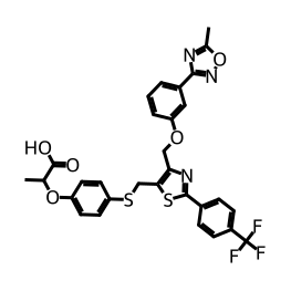 Cc1nc(-c2cccc(OCc3nc(-c4ccc(C(F)(F)F)cc4)sc3CSc3ccc(OC(C)C(=O)O)cc3)c2)no1